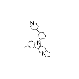 Cc1ccc2c(c1)c1c(n2-c2cccc(-c3ccncc3)c2)CC2CCCN2C1